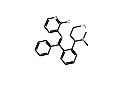 CN(C)C(CCN)c1ccccc1C(=Nc1cccnc1Cl)c1ccccc1